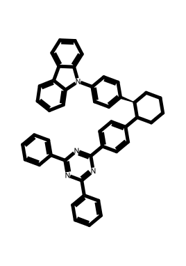 c1ccc(-c2nc(-c3ccccc3)nc(-c3ccc(C4CCCC[C@@H]4c4ccc(-n5c6ccccc6c6ccccc65)cc4)cc3)n2)cc1